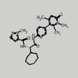 Cc1cc(=O)n(C)c(C)c1-c1ccc(NC(=O)[C@@H](NC(=O)c2ccnn2C)C2CCCCCC2)nc1